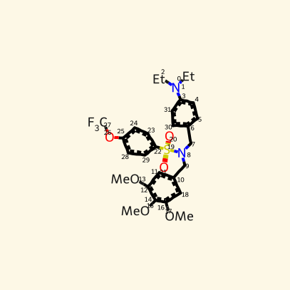 CCN(CC)c1ccc(CN(Cc2cc(OC)c(OC)c(OC)c2)S(=O)(=O)c2ccc(OC(F)(F)F)cc2)cc1